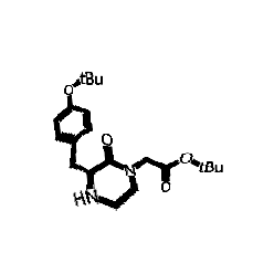 CC(C)(C)OC(=O)CN1CCN[C@@H](Cc2ccc(OC(C)(C)C)cc2)C1=O